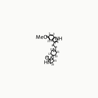 COc1ccc2[nH]cc(CCN3CCC(N4CCNC4=O)CC3)c2c1